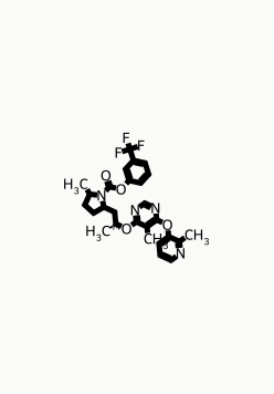 Cc1ncccc1Oc1ncnc(O[C@H](C)CC2CCC(C)N2C(=O)Oc2cccc(C(F)(F)F)c2)c1C